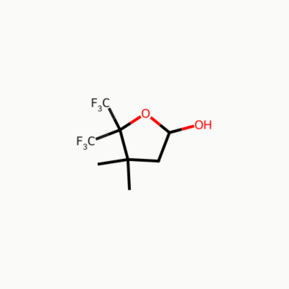 CC1(C)CC(O)OC1(C(F)(F)F)C(F)(F)F